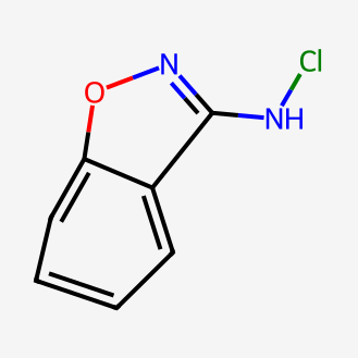 ClNc1noc2ccccc12